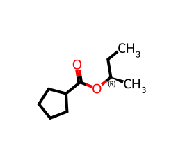 CC[C@@H](C)OC(=O)C1CCCC1